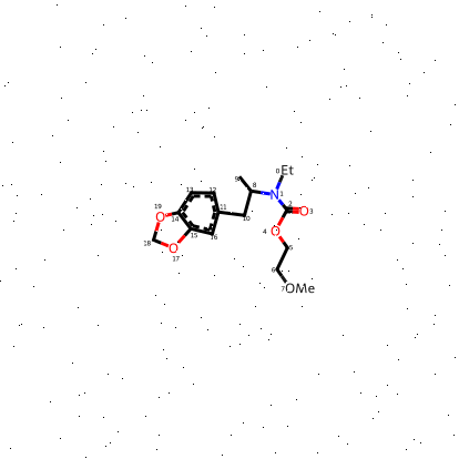 CCN(C(=O)OCCOC)C(C)Cc1ccc2c(c1)OCO2